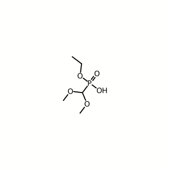 CCOP(=O)(O)C(OC)OC